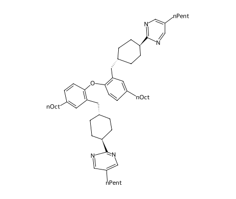 CCCCCCCCc1ccc(Oc2ccc(CCCCCCCC)cc2C[C@H]2CC[C@H](c3ncc(CCCCC)cn3)CC2)c(C[C@H]2CC[C@H](c3ncc(CCCCC)cn3)CC2)c1